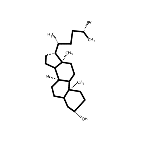 CC(C)[C@H](C)CC[C@@H](C)[C@H]1CCC2[C@@H]3CCC4C[C@@H](O)CC[C@]4(C)C3CC[C@@]21C